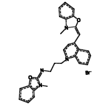 CN1C(=Cc2cc[n+](CCCN=c3oc4ccccc4n3C)c3ccccc23)Oc2ccccc21.[Br-]